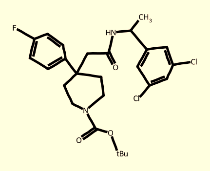 CC(NC(=O)CC1(c2ccc(F)cc2)CCN(C(=O)OC(C)(C)C)CC1)c1cc(Cl)cc(Cl)c1